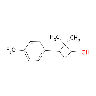 CC1(C)C(O)CC1c1ccc(C(F)(F)F)cc1